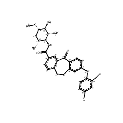 O=C(N[C@@H]1[C@@H](O)[C@H](O)[C@@H](CO)O[C@H]1O)c1ccc2c(c1)C(=O)c1ccc(Nc3ccc(F)cc3F)cc1CC2